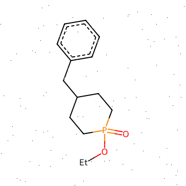 CCOP1(=O)CCC(Cc2ccccc2)CC1